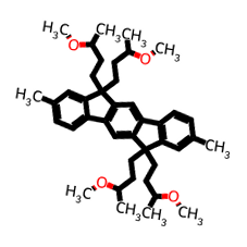 COC(C)CCC1(CCC(C)OC)c2cc(C)ccc2-c2cc3c(cc21)-c1ccc(C)cc1C3(CCC(C)OC)CCC(C)OC